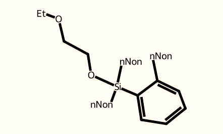 CCCCCCCCCc1ccccc1[Si](CCCCCCCCC)(CCCCCCCCC)OCCOCC